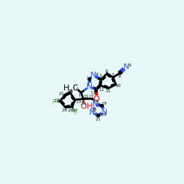 CC(n1cnc2cc(C#N)ccc2c1=O)C(O)(Cn1cncn1)c1ccc(F)cc1F